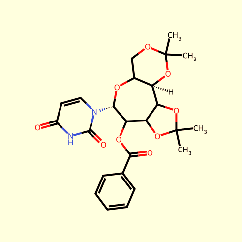 CC1(C)OC2C(O1)[C@@H]1OC(C)(C)OCC1O[C@@H](n1ccc(=O)[nH]c1=O)C2OC(=O)c1ccccc1